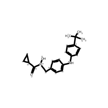 CC(C)(C)c1ccc(Nc2ccc(CN(O)C(=O)C3CC3)cc2)cc1